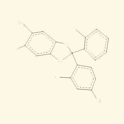 Fc1cc2c(cc1Br)OC(c1ccccc1F)(c1ccc(Cl)cc1Cl)O2